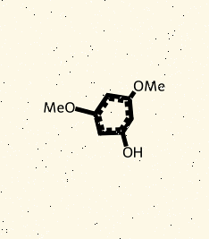 COc1[c]c(OC)cc(O)c1